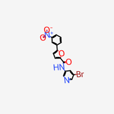 O=C(Nc1cncc(Br)c1)c1ccc(-c2cccc([N+](=O)[O-])c2)o1